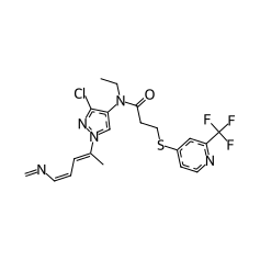 C=N/C=C\C=C(/C)n1cc(N(CC)C(=O)CCSc2ccnc(C(F)(F)F)c2)c(Cl)n1